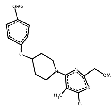 COCc1nc(Cl)c(C)c(N2CCC(Oc3ccc(OC)cc3)CC2)n1